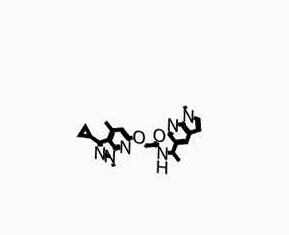 Cc1cc(OCC(=O)NC(C)c2cnc3c(ccn3C)c2)nc2c1c(C1CC1)nn2C